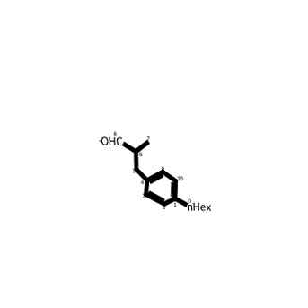 CCCCCCc1ccc(CC(C)[C]=O)cc1